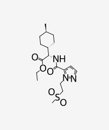 CCOC(=O)[C@@H](NC(=O)c1ccnn1CCS(C)(=O)=O)[C@H]1CC[C@H](C)CC1